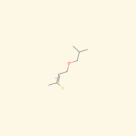 C/C(F)=C/COCC(C)C